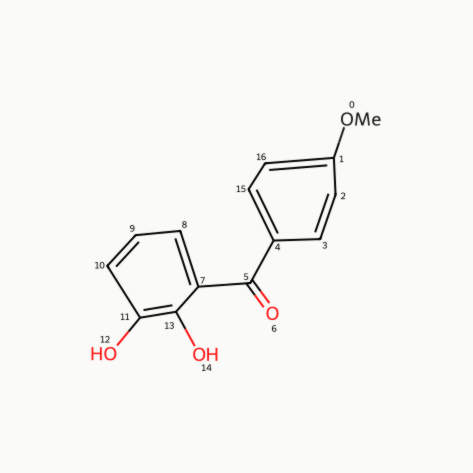 COc1ccc(C(=O)c2cccc(O)c2O)cc1